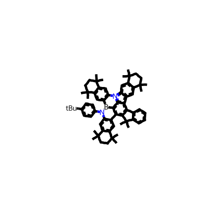 CC(C)(C)c1ccc(N2B3c4cc5c(cc4-n4c6cc7c(cc6c6c8c(c(c3c64)-c3cc4c(cc32)C(C)(C)CCC4(C)C)C(C)(C)c2ccccc2-8)C(C)(C)CCC7(C)C)C(C)(C)CCC5(C)C)cc1